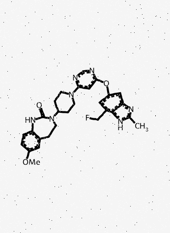 COc1ccc2c(c1)CCN(C1CCN(c3cc(Oc4cc(CF)c5[nH]c(C)nc5c4)ncn3)CC1)C(=O)N2